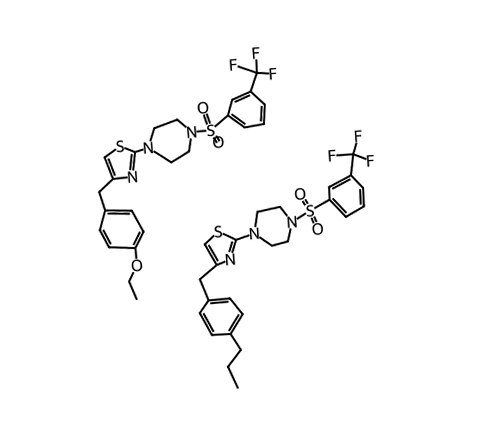 CCCc1ccc(Cc2csc(N3CCN(S(=O)(=O)c4cccc(C(F)(F)F)c4)CC3)n2)cc1.CCOc1ccc(Cc2csc(N3CCN(S(=O)(=O)c4cccc(C(F)(F)F)c4)CC3)n2)cc1